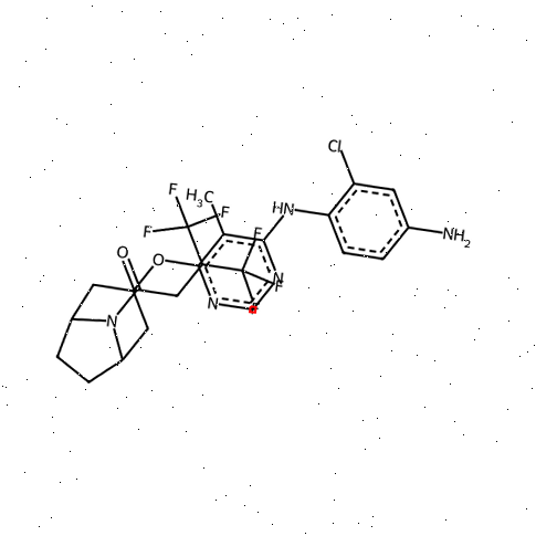 Cc1c(Nc2ccc(N)cc2Cl)ncnc1OC1CC2CCC(C1)N2C(=O)CC(C(F)(F)F)C(F)(F)F